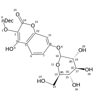 CCCCCCCCCCOc1c(O)c2ccc(OC3O[C@H](CO)[C@@H](O)[C@H](O)[C@H]3O)cc2oc1=O